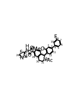 COc1cc(-c2cccc(F)c2)ccc1C1c2ccc(S(=O)(=O)Nc3nncs3)cc2CCN1C(C)=O